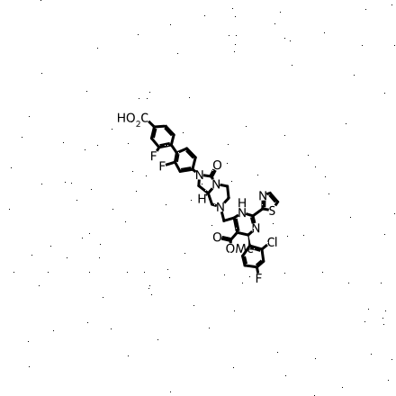 COC(=O)C1=C(CN2CCN3C(=O)N(c4ccc(-c5ccc(C(=O)O)cc5F)c(F)c4)C[C@@H]3C2)NC(c2nccs2)=N[C@H]1c1ccc(F)cc1Cl